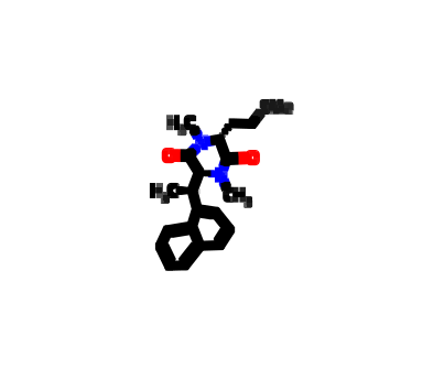 CSCC[C@@H]1C(=O)N(C)[C@H]([C@H](C)c2cccc3ccccc23)C(=O)N1C